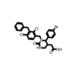 O=C(O)CC1CNC(=O)N(Cc2ccc(Cl)c(Cc3ccccc3)c2Cl)C1c1ccc(Br)cc1